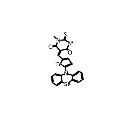 CN1C(=O)C(=Cc2ccc(N3c4ccccc4[Se]c4ccccc43)[te]2)C(=O)N(C)C1=S